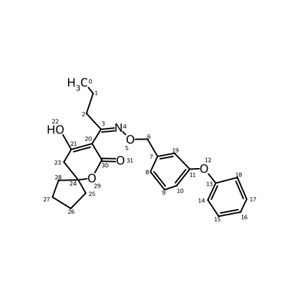 CCC/C(=N/OCc1cccc(Oc2ccccc2)c1)C1=C(O)CC2(CCCC2)OC1=O